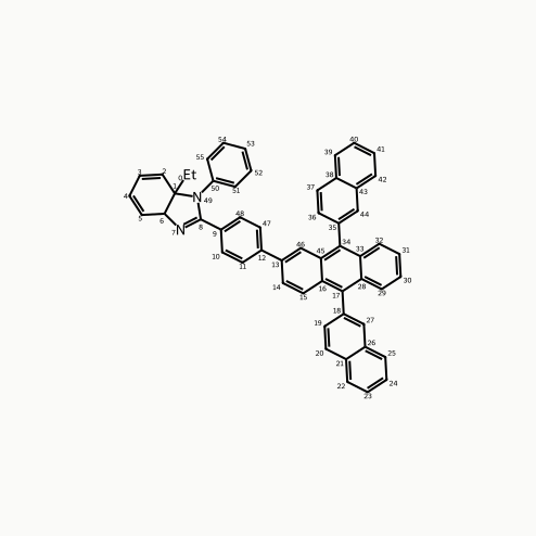 CCC12C=CC=CC1N=C(c1ccc(-c3ccc4c(-c5ccc6ccccc6c5)c5ccccc5c(-c5ccc6ccccc6c5)c4c3)cc1)N2c1ccccc1